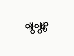 O=c1c2ccccc2nc(-c2ccc(-c3nc4ccccc4n3-c3ccccc3)cc2)n1-c1ccccc1